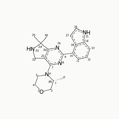 C[C@@H]1COCCN1c1nc(-c2cccc3[nH]ccc23)nc2c1CNC2(C)C